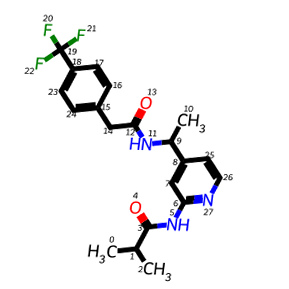 CC(C)C(=O)Nc1cc(C(C)NC(=O)Cc2ccc(C(F)(F)F)cc2)ccn1